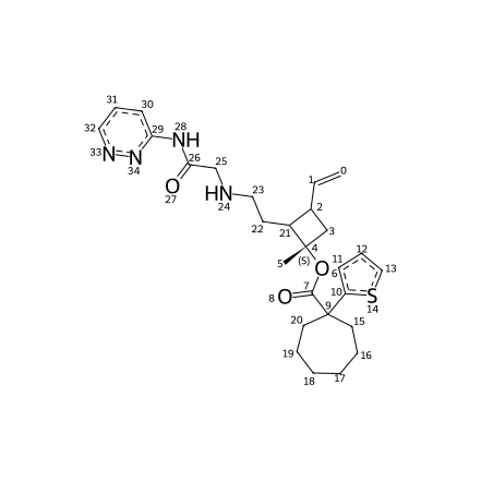 C=CC1C[C@](C)(OC(=O)C2(c3cccs3)CCCCCC2)C1CCNCC(=O)Nc1cccnn1